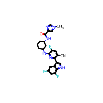 Cn1cnc(C(=O)N[C@H]2CCC[C@H](Nc3nc(-c4c[nH]c5c(F)cc(F)cc45)c(C#N)cc3F)C2)c1